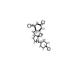 O=C1CCC(N2CCC(Cc3ccc(Cl)cc3Cl)C2=O)CC1